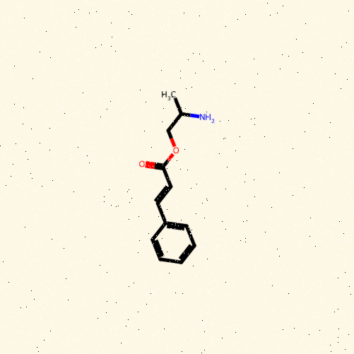 CC(N)COC(=O)C=Cc1ccccc1